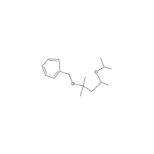 CC(C)OC(C)CC(C)(C)OCc1ccccc1